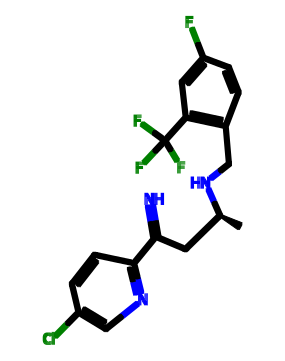 C[C@@H](CC(=N)c1ccc(Cl)cn1)NCc1ccc(F)cc1C(F)(F)F